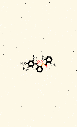 Cc1cc(C)c(C(=O)c2ccccc2[P](=O)C(=O)c2c(C)cccc2C)c(C)c1C